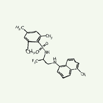 Cc1cc(C)c(S(=O)(=O)NC(CNc2cccc3c(C#N)cccc23)C(F)(F)F)c(C)c1